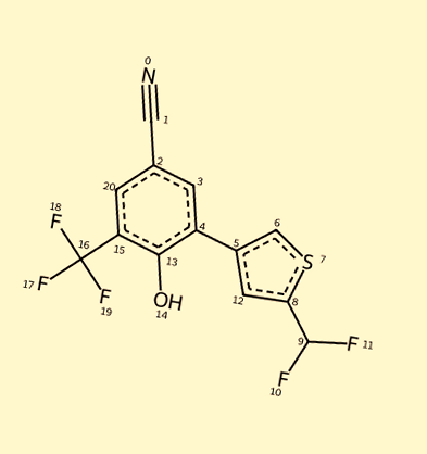 N#Cc1cc(-c2csc(C(F)F)c2)c(O)c(C(F)(F)F)c1